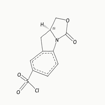 O=C1OC[C@@H]2Cc3cc(S(=O)(=O)Cl)ccc3N12